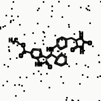 CCOC(=O)c1ccc2c(c1)NC(=O)C2=C(Nc1ccc(CC2NC(=O)NC2=O)cc1)c1ccccc1